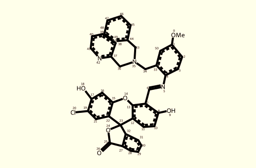 COc1ccc(N=Cc2c(O)ccc3c2Oc2cc(O)c(Cl)cc2C32OC(=O)c3ccccc32)c(CN(Cc2ccccn2)Cc2ccccn2)c1